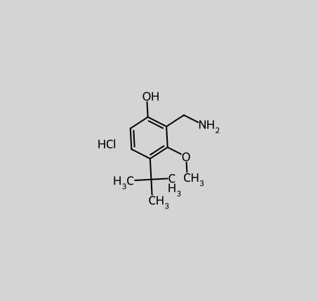 COc1c(C(C)(C)C)ccc(O)c1CN.Cl